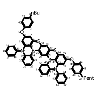 CCCCc1ccc(Oc2cc3c4c(c2)N(c2ccccc2)c2ccccc2B4c2cc4c(cc2S3)Sc2cc(Oc3ccc(C(C)CCC)cc3)cc3c2B4c2ccccc2N3c2ccccc2)cc1